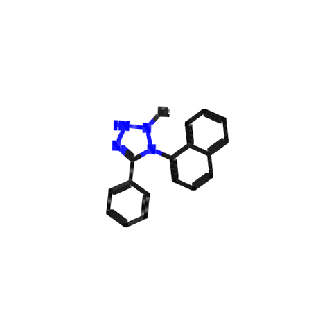 CCN1NN=C(c2ccccc2)N1c1cccc2ccccc12